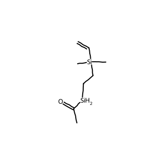 C=C[Si](C)(C)CC[SiH2]C(C)=O